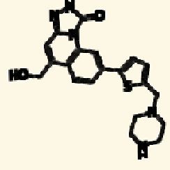 O=c1[nH]nc2cc(CO)c3ccc(-c4ccc(CN5CCNCC5)s4)cc3n12